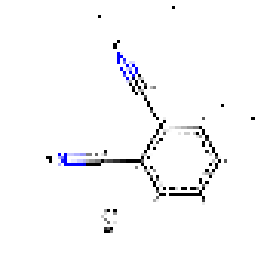 N#Cc1ccccc1C#N.[C]